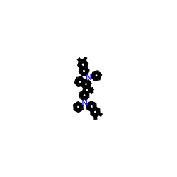 Cc1cc2ccc(N(c3ccccc3)c3ccc4c(c3)C(C)(C)c3cc(N(c5ccccc5)c5ccc6cc(C)c(C)cc6c5)c5ccccc5c3-4)cc2cc1C